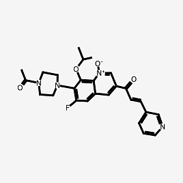 CC(=O)N1CCN(c2c(F)cc3cc(C(=O)C=Cc4cccnc4)c[n+]([O-])c3c2OC(C)C)CC1